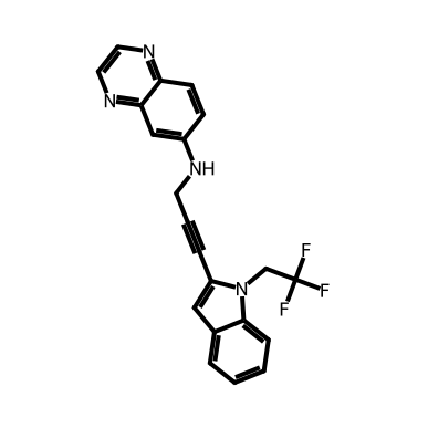 FC(F)(F)Cn1c(C#CCNc2ccc3nccnc3c2)cc2ccccc21